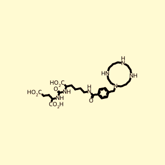 O=C(O)CCC(NC(=O)NC(CCCCNC(=O)c1ccc(CN2CCCNCCNCCCNCC2)cc1)C(=O)O)C(=O)O